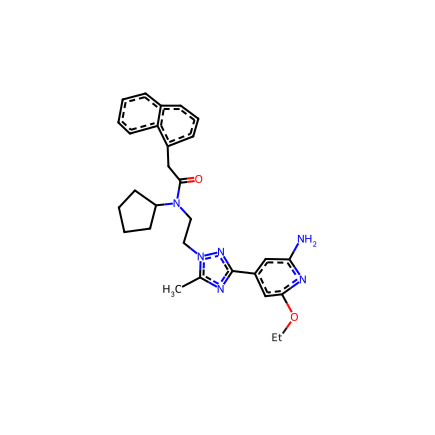 CCOc1cc(-c2nc(C)n(CCN(C(=O)Cc3cccc4ccccc34)C3CCCC3)n2)cc(N)n1